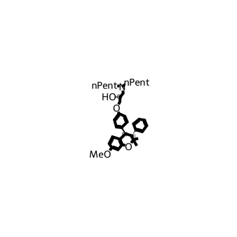 CCCCCN(CCCCC)C[C@@H](O)COc1ccc([C@@H]2c3ccc(OC)cc3OC(C)(C)[C@H]2c2ccccc2)cc1